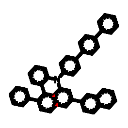 c1ccc(-c2ccc(-c3ccc(N(c4cccc(-c5ccc6ccccc6c5)c4)c4ccccc4-c4ccccc4-c4ccccc4)cc3)cc2)cc1